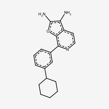 Nc1oc2c(-c3cccc(C4CCCCC4)c3)nccc2c1N